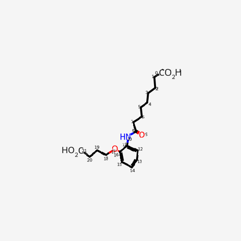 O=C(O)CCCCCCCC(=O)Nc1ccccc1OCCCC(=O)O